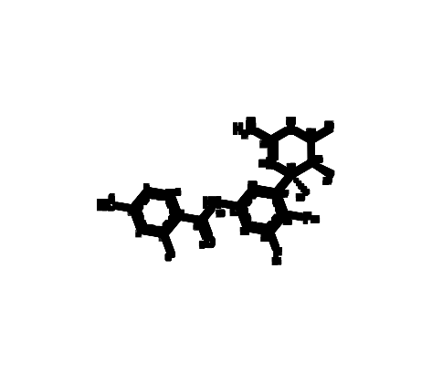 Cc1cc(C#N)cnc1C(=O)Nc1cc(F)c(F)c([C@@]2(C)N=C(N)SC(C)[C@H]2C)c1